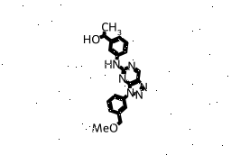 COCc1cccc(-n2nnc3cnc(Nc4cccc(C(C)O)c4)nc32)c1